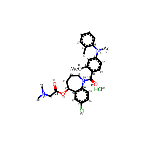 COc1cc(N(C(C)=O)c2ccccc2C)ccc1C(=O)N1CCCC(OC(=O)CN(C)C)c2cc(Cl)ccc21.Cl